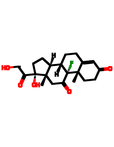 C[C@]12CCC(=O)C=C1CC[C@H]1[C@@H]3CC[C@](O)(C(=O)[CH]O)[C@@]3(C)CC(=O)[C@@]12F